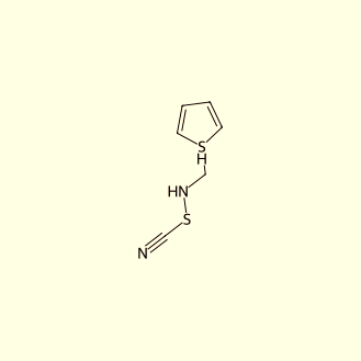 N#CSNC[SH]1C=CC=C1